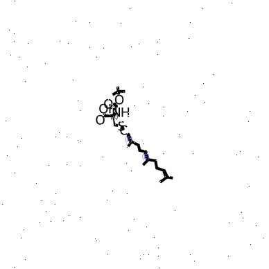 CC(C)=CCC/C(C)=C/CC/C(C)=C/CSC[C@H](NC(=O)OC(C)(C)C)C(=O)O